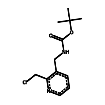 CC(C)(C)OC(=O)NCc1cccnc1CCl